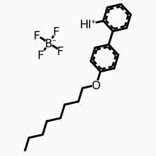 CCCCCCCCOc1ccc(-c2ccccc2[IH+])cc1.F[B-](F)(F)F